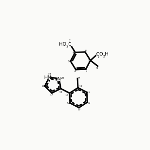 CC1(C(=O)O)C=CC=C(C(=O)O)C1.Cc1ccccc1-c1cc[nH]n1